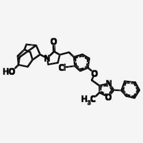 Cc1oc(-c2ccccc2)nc1COc1ccc(CC2CCN(C3C4CC5CC3CC(O)(C5)C4)C2=O)c(Cl)c1